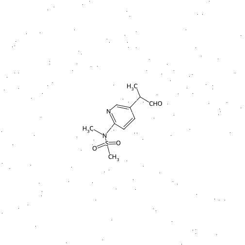 CC(C=O)c1ccc(N(C)S(C)(=O)=O)nc1